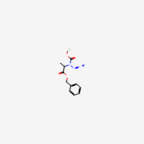 CC(C(=O)OCc1ccccc1)N(N=[N+]=[N-])C(=O)OC(C)(C)C